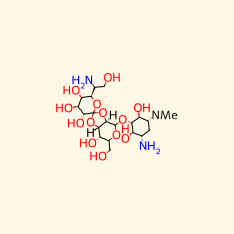 CN[C@@H]1C[C@H](N)[C@@H](O)[C@H](OC2OC(CO)[C@H](O)[C@@H]3OC4(O[C@H](C(N)CO)[C@H](O)[C@H](O)[C@H]4O)O[C@@H]23)[C@H]1O